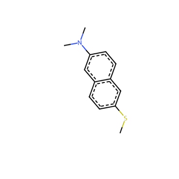 CSc1ccc2cc(N(C)C)ccc2c1